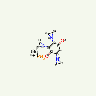 CC(C)(C)P.O=C1C=C(N2CC2)C(=O)C(N2CC2)=C1N1CC1.[Pd]